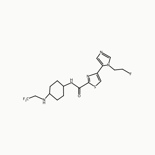 O=C(NC1CCC(NCC(F)(F)F)CC1)c1nc(-c2cncn2CCF)cs1